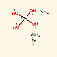 O[Si](O)(O)O.[AlH3].[Fe].[SiH4]